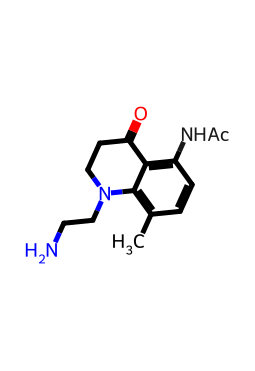 CC(=O)Nc1ccc(C)c2c1C(=O)CCN2CCN